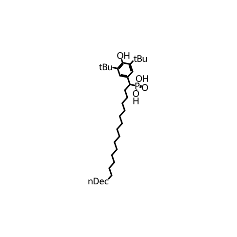 CCCCCCCCCCCCCCCCCCCCCCCCC(c1cc(C(C)(C)C)c(O)c(C(C)(C)C)c1)P(=O)(O)O